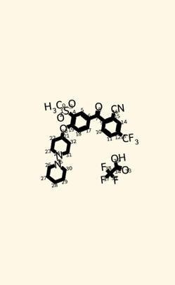 CS(=O)(=O)c1cc(C(=O)c2ccc(C(F)(F)F)cc2C#N)ccc1OC1CCN(N2CCCCC2)CC1.O=C(O)C(F)(F)F